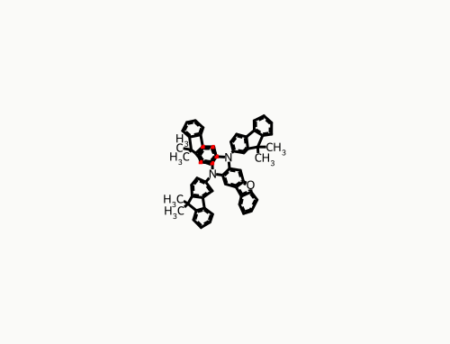 CC1(C)c2ccccc2-c2cc(N(c3ccc4c(c3)C(C)(C)c3ccccc3-4)c3cc4oc5ccccc5c4cc3N(c3ccccc3)c3ccc4c(c3)-c3ccccc3C4(C)C)ccc21